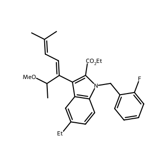 CCOC(=O)c1c(/C(=C/C=C(C)C)C(C)OC)c2cc(CC)ccc2n1Cc1ccccc1F